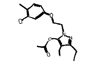 CCc1nn(CCOc2ccc(C)c(Cl)c2)c(OC(C)=O)c1C